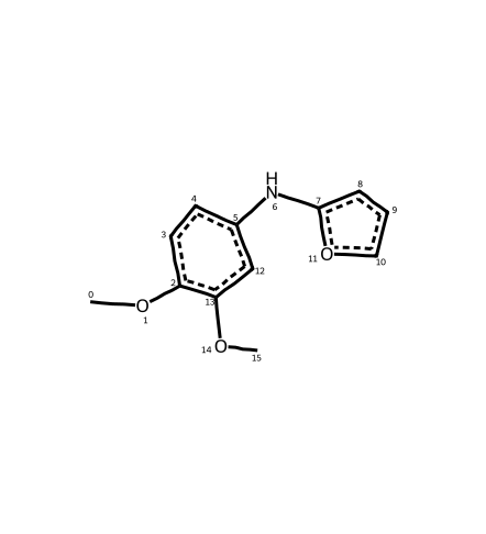 COc1ccc(Nc2ccco2)cc1OC